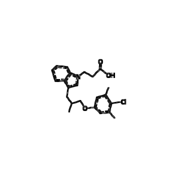 Cc1cc(OCC(C)Cc2cn(CCC(=O)O)c3ccccc23)cc(C)c1Cl